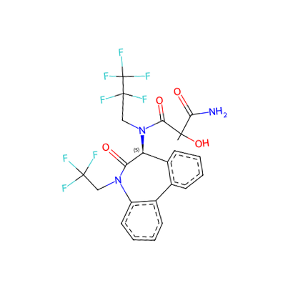 CC(O)(C(N)=O)C(=O)N(CC(F)(F)C(F)(F)F)[C@@H]1C(=O)N(CC(F)(F)F)c2ccccc2-c2ccccc21